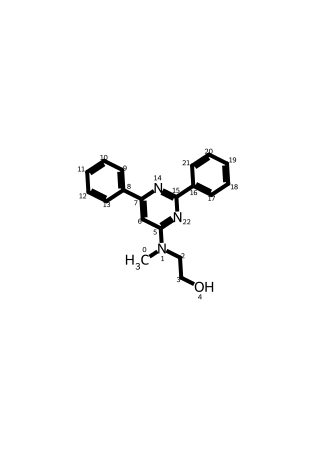 CN(CCO)c1cc(-c2ccccc2)nc(-c2ccccc2)n1